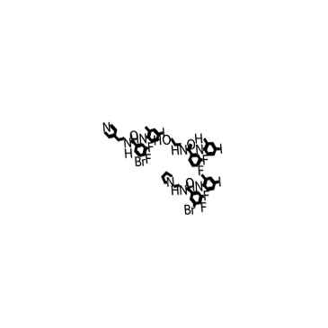 Cc1cc(I)ccc1Nc1c(C(=O)NCCCO)ccc(F)c1F.Cc1cc(I)ccc1Nc1c(C(=O)NCCN2CCCC2)cc(Br)c(F)c1F.Cc1cc(I)ccc1Nc1c(C(=O)NCCc2ccncc2)cc(Br)c(F)c1F